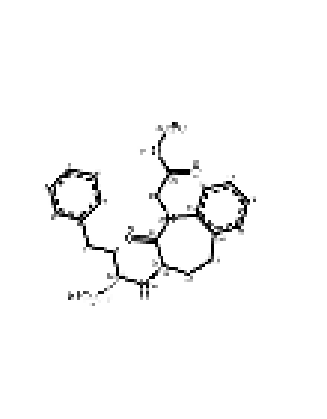 CCOC(=O)[C@H](CCc1ccccc1)N[C@@H]1CCc2ccccc2N(CC(=O)OC(C)(C)C)C1=O